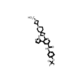 O=C(Nc1ccc(OC(F)(F)Cl)cc1)c1cnc(N2CC3(CCN(C4CN(C(=O)O)C4)CC3)C2)c(-c2ccn[nH]2)c1